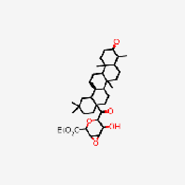 CCOC(=O)C1OC(C(=O)C23CCC4C(=CCC5C4(C)CCC4C(C)C(=O)CCC45C)C2CC(C)(C)CC3)C(O)C2OC12